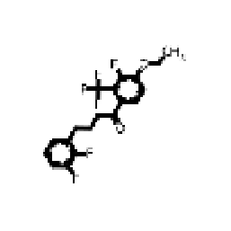 CCOc1ccc(C(=O)CCCc2cccc(F)c2F)c(C(F)(F)F)c1F